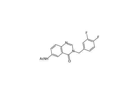 CC(=O)Nc1ccc2ncn(Cc3ccc(F)c(F)c3)c(=O)c2c1